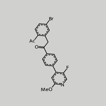 COc1cc(-c2ccc(C(=O)Cc3cc(Br)ccc3C(C)=O)cc2)c(F)cn1